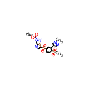 Cn1cc(-c2cc(S(=O)(=O)c3cnc(CNC(=O)OC(C)(C)C)s3)ccc2S(C)(=O)=O)cn1